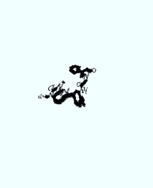 Cn1c(=O)n(CC(C)(C)C)c2ccc(C3CCC(C)(C)C(NC(=O)CN4CC(c5ccccc5)CC4=O)C3)nc21